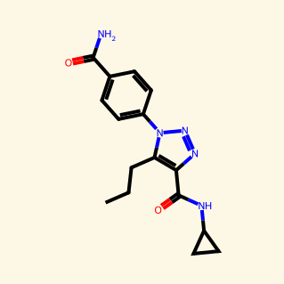 CCCc1c(C(=O)NC2CC2)nnn1-c1ccc(C(N)=O)cc1